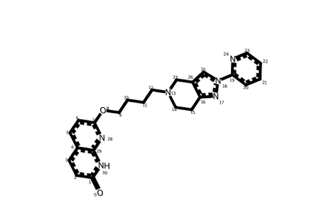 O=c1ccc2ccc(OCCCCN3CCc4nn(-c5ccccn5)cc4C3)nc2[nH]1